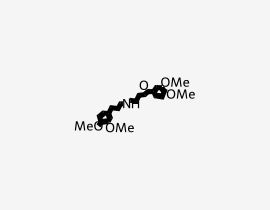 COc1ccc(CCCNCCCCC(=O)c2ccc(OC)c(OC)c2)cc1OC